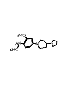 COc1cc(N2CCC(N3CCCC3)CC2)ccc1NC=O